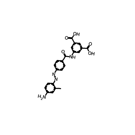 Cc1cc(N)ccc1N=Nc1ccc(C(=O)Nc2cc(C(=O)O)cc(C(=O)O)c2)cc1